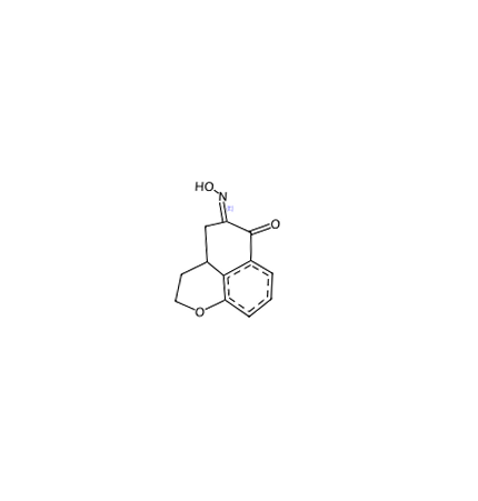 O=C1/C(=N/O)CC2CCOc3cccc1c32